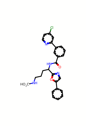 O=C(O)NCCCC(NC(=O)c1cccc(-c2cc(Cl)ccn2)c1)c1ncc(-c2ccccc2)o1